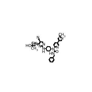 Cn1cc(-c2ccc(N(C(=O)NCc3ccccc3)[C@H]3CC[C@H](Nc4ncc(C#N)c(NCC(C)(C)O)n4)CC3)nc2)cn1